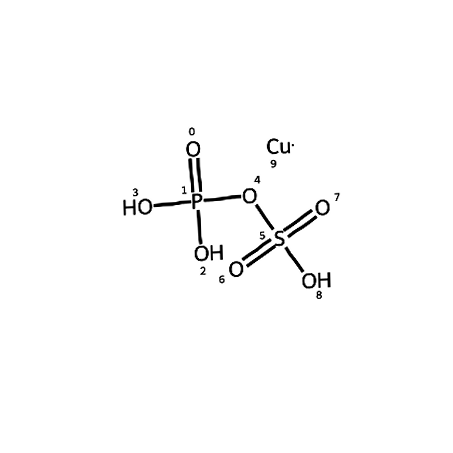 O=P(O)(O)OS(=O)(=O)O.[Cu]